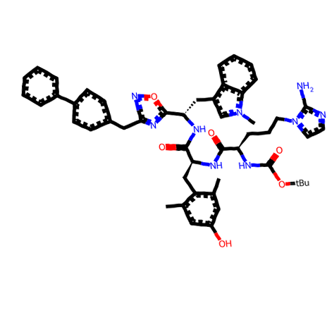 Cc1cc(O)cc(C)c1C[C@H](NC(=O)[C@@H](CCCn1ccnc1N)NC(=O)OC(C)(C)C)C(=O)N[C@@H](Cc1cn(C)c2ccccc12)c1nc(Cc2ccc(-c3ccccc3)cc2)no1